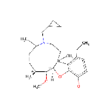 CCc1ccc(O)c2c1C1(C)CCN(CC3CC3)C(C)CC[C@H](C)C(OC)[C@@H]1O2